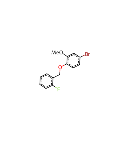 COc1cc(Br)ccc1OCc1ccccc1F